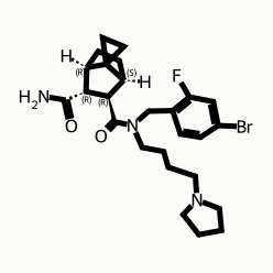 NC(=O)[C@H]1[C@H](C(=O)N(CCCCN2CCCC2)Cc2ccc(Br)cc2F)[C@@H]2CC[C@H]1C21CC1